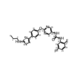 CCCNc1ncc(-c2ccc(Oc3ncc(NC(=O)Nc4cc(F)ccc4F)cn3)cc2)s1